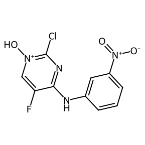 O=[N+]([O-])c1cccc(Nc2nc(Cl)[n+](O)cc2F)c1